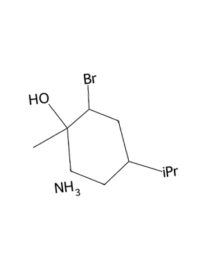 CC(C)C1CCC(C)(O)C(Br)C1.N